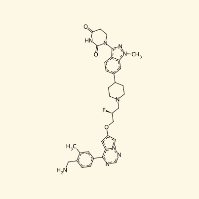 Cc1cc(-c2ncnn3cc(OC[C@@H](F)CN4CCC(c5ccc6c(N7CCC(=O)NC7=O)nn(C)c6c5)CC4)cc23)ccc1CN